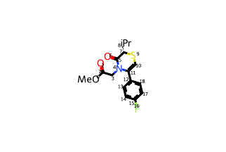 COC(=O)CN1C(=O)[C@H](C(C)C)SC=C1c1ccc(F)cc1